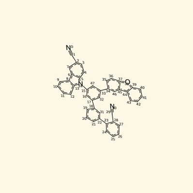 N#Cc1ccc2c(c1)c1ccccc1n2-c1cc(-c2cccc(-c3ccccc3C#N)c2)cc(-c2ccc3oc4ccccc4c3c2)c1